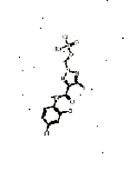 O=C(Nc1ccc(Cl)cc1Cl)c1nn(COP(=O)(O)O)nc1F